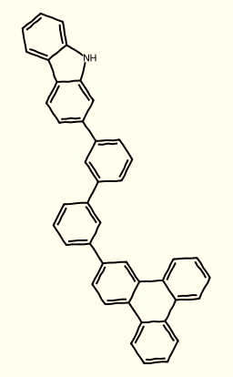 c1cc(-c2cccc(-c3ccc4c5ccccc5c5ccccc5c4c3)c2)cc(-c2ccc3c(c2)[nH]c2ccccc23)c1